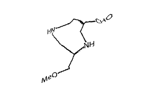 COCC1CNCC(C=O)N1